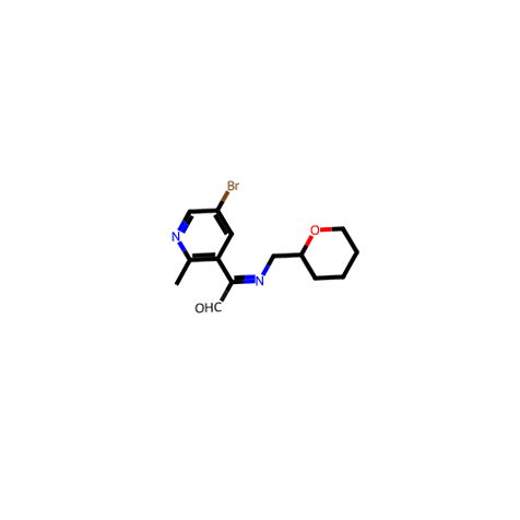 Cc1ncc(Br)cc1/C(C=O)=N\CC1CCCCO1